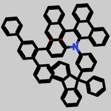 c1ccc(-c2ccc(-c3ccccc3)c(-c3ccc(N(c4cccc(C5(c6ccccc6)c6ccccc6-c6ccccc65)c4)c4c(-c5cccc6ccccc56)c5ccccc5c5ccccc45)cc3)c2)cc1